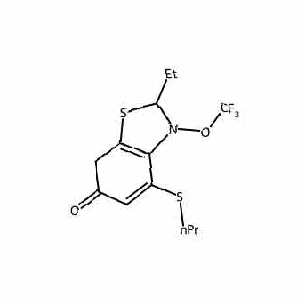 CCCSC1=CC(=O)CC2=C1N(OC(F)(F)F)C(CC)S2